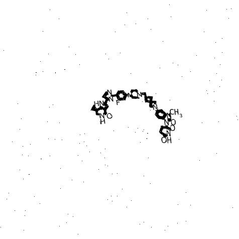 Cn1c(=O)n(C2CCC(=O)NC2=O)c2ccc(N3CC4(CC(CN5CCN(c6ccc(-c7nccc(-c8cc9c([nH]8)C8(CC8)CNC9=O)n7)c(F)c6)CC5)C4)C3)cc21